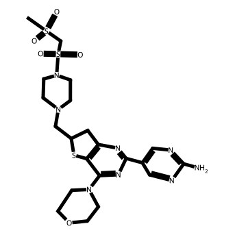 CS(=O)(=O)CS(=O)(=O)N1CCN(CC2Cc3nc(-c4cnc(N)nc4)nc(N4CCOCC4)c3S2)CC1